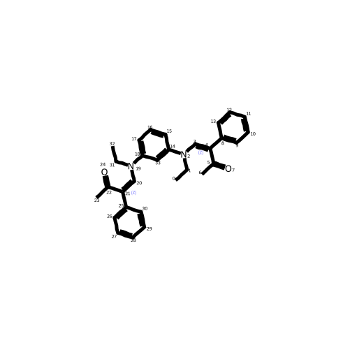 CCN(/C=C(\C(C)=O)c1ccccc1)c1cccc(N(/C=C(\C(C)=O)c2ccccc2)CC)c1